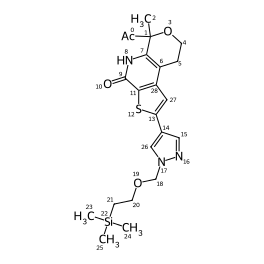 CC(=O)C1(C)OCCc2c1[nH]c(=O)c1sc(-c3cnn(COCC[Si](C)(C)C)c3)cc21